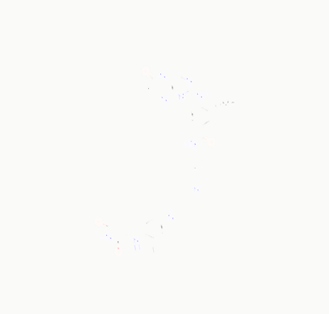 COc1cc(C(=O)NC2CC3(CCN(CC4CCN(c5ccc(NC6CCC(=O)NC6=O)c(F)c5)CC4)CC3)C2)ccc1Nc1ncc2c(n1)N(C1CCCC1)CC(F)(F)C(=O)N2C